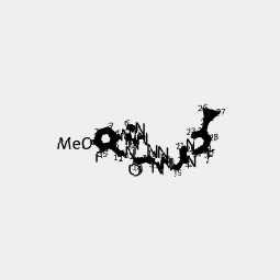 COc1ccc(-n2cnnn2)c(CNC(=O)c2nnn(Cc3cn4cc(C5CC5)cc(F)c4n3)n2)c1F